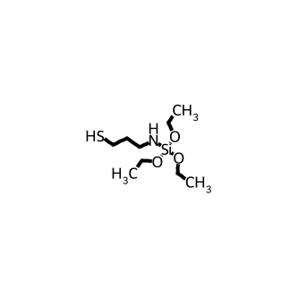 CCO[Si](NCCCS)(OCC)OCC